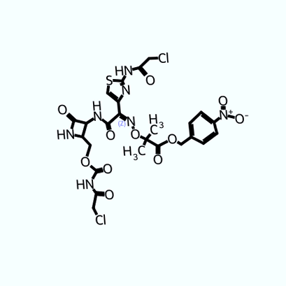 CC(C)(O/N=C(\C(=O)NC1C(=O)NC1COC(=O)NC(=O)CCl)c1csc(NC(=O)CCl)n1)C(=O)OCc1ccc([N+](=O)[O-])cc1